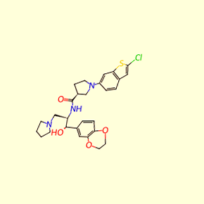 O=C(N[C@H](CN1CCCC1)[C@H](O)c1ccc2c(c1)OCCO2)[C@H]1CCN(c2ccc3cc(Cl)sc3c2)C1